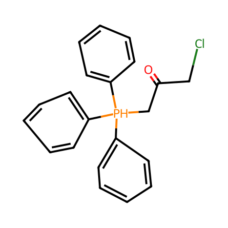 O=C(CCl)C[PH](c1ccccc1)(c1ccccc1)c1ccccc1